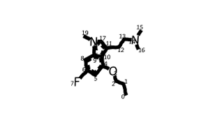 CCCOc1cc(F)cc2c1c(CCN(C)C)cn2C